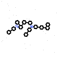 c1ccc(-c2ccc(N(c3ccc(-c4ccc(-c5cccc6ccccc56)cc4)cc3)c3cccc(-c4cccc(-c5cccc6c5c5ccccc5n6-c5ccc(-c6ccccc6)cc5)c4)c3)cc2)cc1